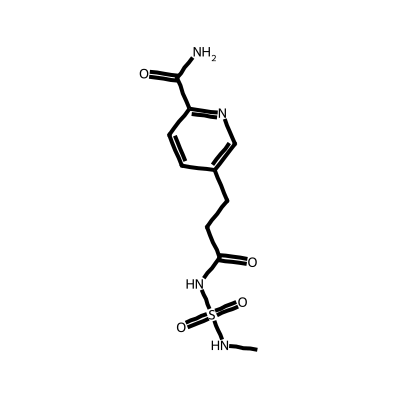 CNS(=O)(=O)NC(=O)CCc1ccc(C(N)=O)nc1